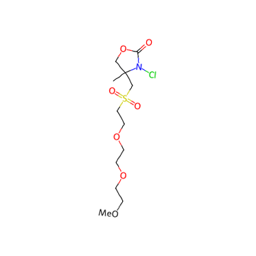 COCCOCCOCCS(=O)(=O)CC1(C)COC(=O)N1Cl